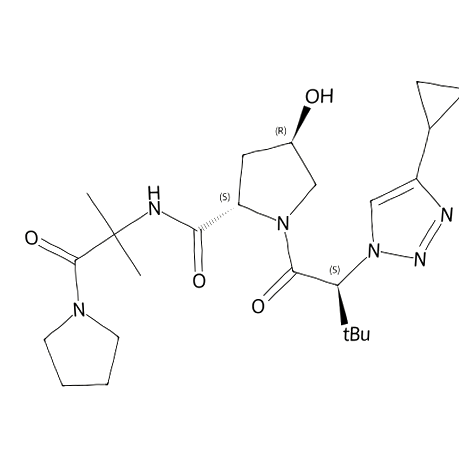 CC(C)(NC(=O)[C@@H]1C[C@@H](O)CN1C(=O)[C@@H](n1cc(C2CC2)nn1)C(C)(C)C)C(=O)N1CCCC1